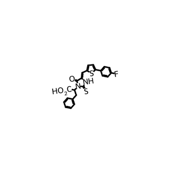 O=C(O)C(Cc1ccccc1)N1C(=O)/C(=C/c2ccc(-c3ccc(F)cc3)s2)NC1=S